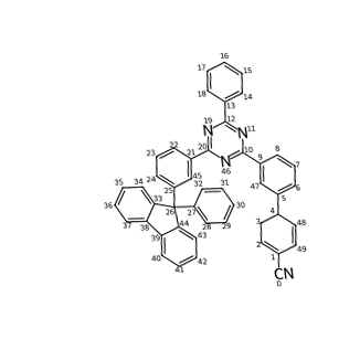 N#CC1=CCC(c2cccc(-c3nc(-c4ccccc4)nc(-c4cccc(C5(c6ccccc6)c6ccccc6-c6ccccc65)c4)n3)c2)C=C1